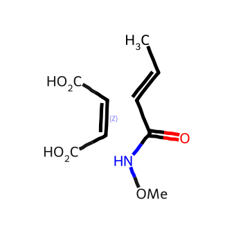 CC=CC(=O)NOC.O=C(O)/C=C\C(=O)O